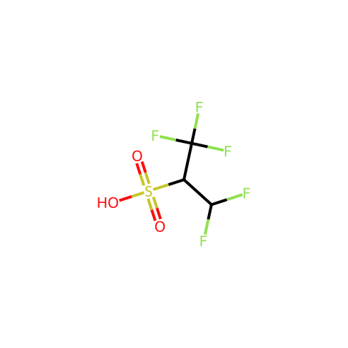 O=S(=O)(O)C(C(F)F)C(F)(F)F